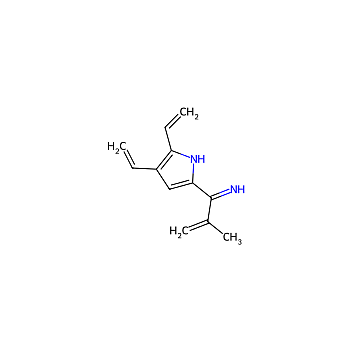 C=Cc1cc(C(=N)C(=C)C)[nH]c1C=C